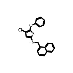 Clc1cc(NCc2cccc3ccccc23)sc1Oc1ccccc1